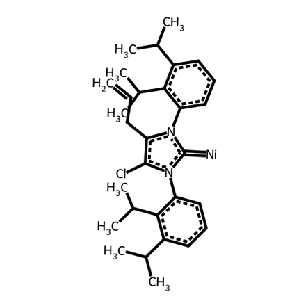 C=CCc1c(Cl)n(-c2cccc(C(C)C)c2C(C)C)[c](=[Ni])n1-c1cccc(C(C)C)c1C(C)C